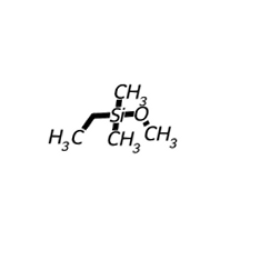 CC[Si](C)(C)OC